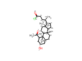 CC(=O)C1C[C@@H](O)CC2CC[C@@H]3[C@H](CC[C@]4(C)[C@@H]([C@H](C)CCC(=O)Cl)CC[C@@H]34)[C@]21C